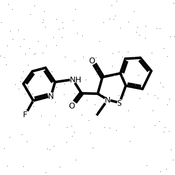 CN1Sc2ccccc2C(=O)C1C(=O)Nc1cccc(F)n1